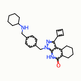 O=c1[nH]c2c(c(C3=CC=C3)nn2Cc2ccc(CNC3CCCCC3)cc2)c2c1CCCC2